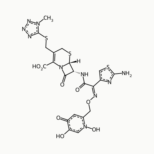 Cn1nnnc1SCC1=C(C(=O)O)N2C(=O)[C@@H](NC(=O)/C(=N\OCc3cc(=O)c(O)cn3O)c3csc(N)n3)[C@H]2SC1